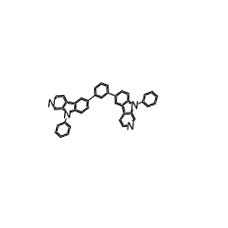 c1ccc(-n2c3ccc(-c4cccc(-c5ccc6c(c5)c5ccncc5n6-c5ccccc5)c4)cc3c3ccncc32)cc1